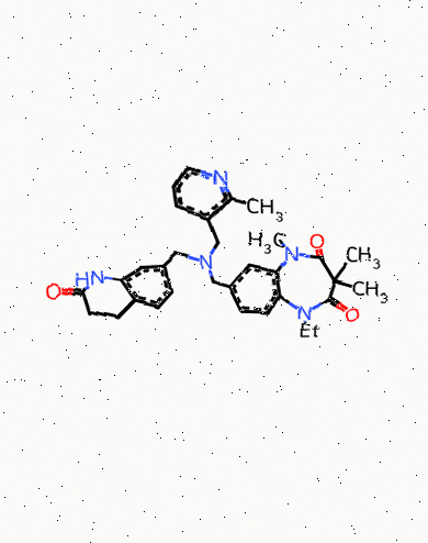 CCN1C(=O)C(C)(C)C(=O)N(C)c2cc(CN(Cc3ccc4c(c3)NC(=O)CC4)Cc3cccnc3C)ccc21